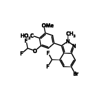 COc1cc(-c2c3c(C(F)F)cc(Br)cc3nn2C)cc(OC(F)F)c1C(=O)O